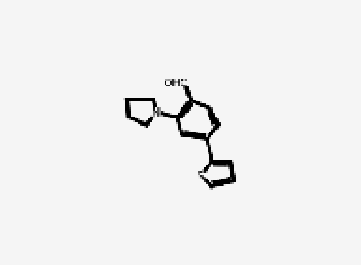 O=Cc1ccc(-c2cccs2)cc1N1CCCC1